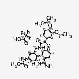 CCOc1cc(C(Oc2ccc(C(=N)N)cc2)C(=O)NCc2cccc(NC(C)=O)c2)ccc1OC(C)C.O=C(O)C(F)(F)F